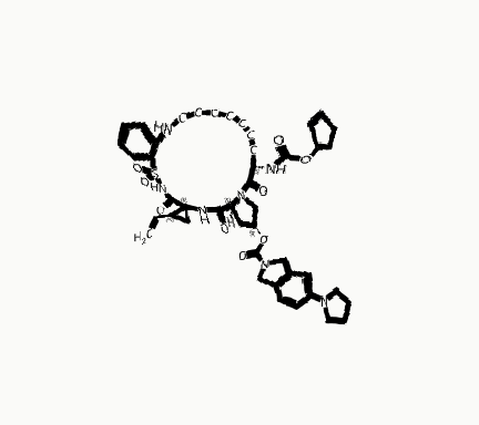 C=C[C@@H]1C[C@@]12NC(=O)[C@@H]1C[C@@H](OC(=O)N3Cc4ccc(N5CCCC5)cc4C3)CN1C(=O)[C@@H](NC(=O)OC1CCCC1)CCCCCCCNc1ccccc1S(=O)(=O)NC2=O